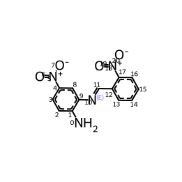 Nc1ccc([N+](=O)[O-])cc1/N=C/c1ccccc1[N+](=O)[O-]